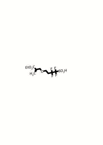 C=C(COCCC(F)(F)C(F)(F)S(=O)(=O)O)C(=O)OCC